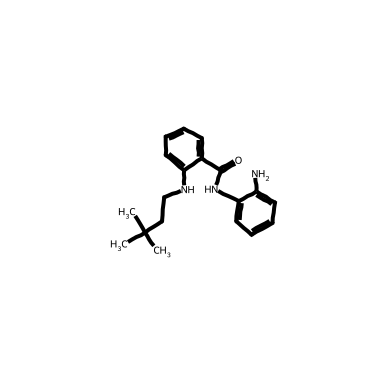 CC(C)(C)CCNc1ccccc1C(=O)Nc1ccccc1N